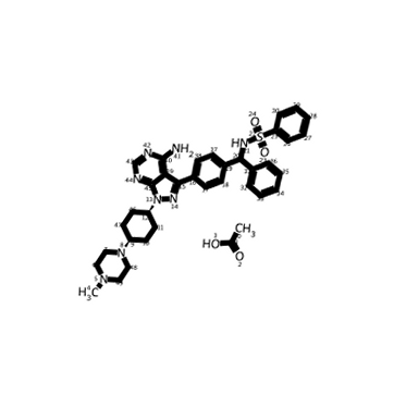 CC(=O)O.CN1CCN([C@H]2CC[C@@H](n3nc(-c4ccc(C(NS(=O)(=O)c5ccccc5)c5ccccc5)cc4)c4c(N)ncnc43)CC2)CC1